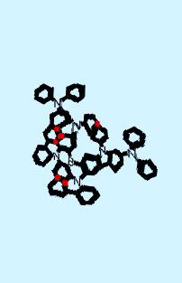 c1ccc(-c2ccccc2N2c3cc4c5ccc(N(c6ccccc6)c6ccccc6)cc5n(-c5ccccc5)c4cc3B3c4cc5c(cc4N(c4ccccc4-c4ccccc4)c4cccc2c43)c2ccc(N(c3ccccc3)c3ccccc3)cc2n5-c2ccccc2)cc1